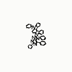 c1ccc(-c2nc(-c3ccccc3)c3c(n2)nc(-n2c4ccccc4c4c5c6ccccc6n(-c6ccccc6)c5ccc42)n3-c2ccccc2)cc1